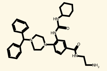 NCCNC(=O)c1ccc(N2CCN(C(c3ccccc3)c3ccccc3)CC2)c(NC(=O)NC2CCCCC2)c1